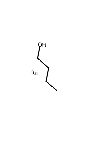 CCCCO.[Ru]